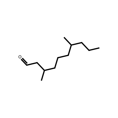 CCCC(C)CCCC(C)CC=O